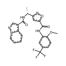 COc1ccc(C(F)(F)F)cc1NC(=O)c1cc([C@@H](C)NC(=O)c2cnn3ccccc23)no1